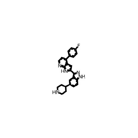 Fc1ccc(-c2ccnc3[nH]c(-c4n[nH]c5ccc(C6CCNCC6)cc45)cc23)cc1